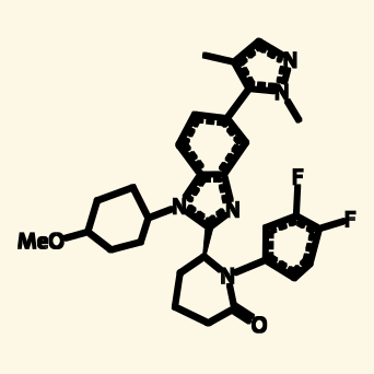 COC1CCC(n2c([C@@H]3CCCC(=O)N3c3ccc(F)c(F)c3)nc3cc(-c4c(C)cnn4C)ccc32)CC1